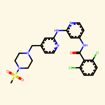 CS(=O)(=O)N1CCN(Cc2ccnc(Nc3cc(NC(=O)c4c(Cl)cccc4Cl)ccn3)c2)CC1